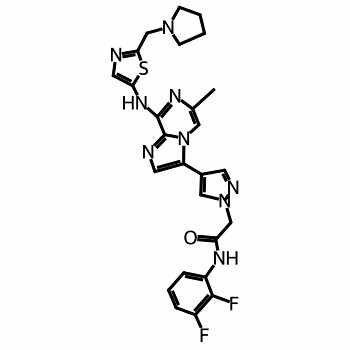 Cc1cn2c(-c3cnn(CC(=O)Nc4cccc(F)c4F)c3)cnc2c(Nc2cnc(CN3CCCC3)s2)n1